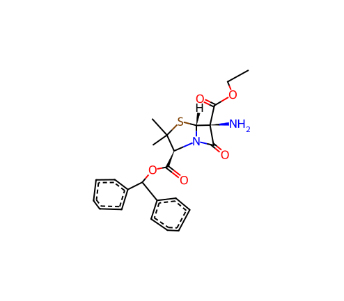 CCOC(=O)[C@]1(N)C(=O)N2[C@@H](C(=O)OC(c3ccccc3)c3ccccc3)C(C)(C)S[C@@H]21